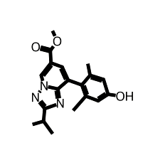 COC(=O)c1cc(-c2c(C)cc(O)cc2C)c2nc(C(C)C)nn2c1